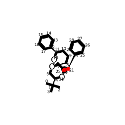 CC(C)(C)[C@H]1CO[C@@]2(CCC[C@H](c3ccccc3)O2)[C@@]2(CCC[C@H](c3ccccc3)O2)O1